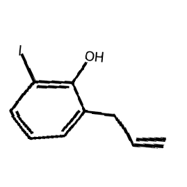 C=CCc1cccc(I)c1O